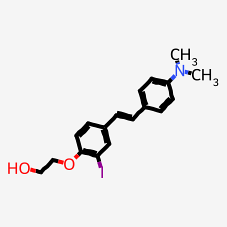 CN(C)c1ccc(/C=C/c2ccc(OCCO)c(I)c2)cc1